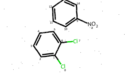 Clc1ccccc1Cl.O=[N+]([O-])c1ccccc1